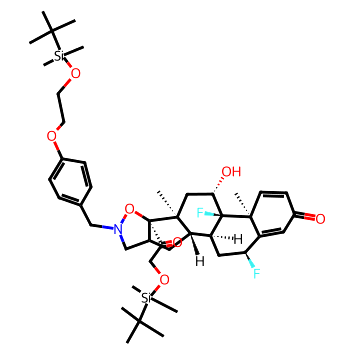 CC(C)(C)[Si](C)(C)OCCOc1ccc(CN2CC3C[C@H]4[C@@H]5C[C@H](F)C6=CC(=O)C=C[C@]6(C)[C@@]5(F)[C@@H](O)C[C@]4(C)[C@]3(C(=O)CO[Si](C)(C)C(C)(C)C)O2)cc1